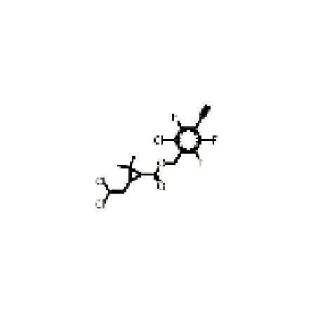 C#Cc1c(F)c(F)c(COC(=O)C2C(C=C(Cl)Cl)C2(C)C)c(Cl)c1F